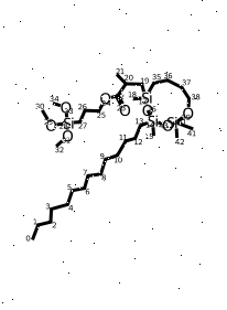 CCCCCCCCCCCCCC[Si]1(C)O[Si](C)(CC(C)C(=O)OCCC[Si](OC)(OC)OC)CCCCO[Si](C)(C)O1